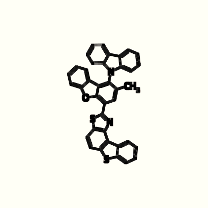 Cc1cc(-c2nc3c(ccc4sc5ccccc5c43)s2)c2oc3ccccc3c2c1-n1c2ccccc2c2ccccc21